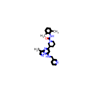 Bc1cnn2c(NCc3cccnc3)cc(C3CCCN(C(=O)Nc4c(C)cccc4C)C3)nc12